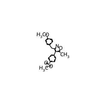 COc1ccc(Cc2noc(C)c2-c2ccc(S(C)(=O)=O)cc2)cc1